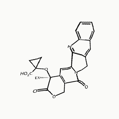 CC[C@@]1(OC2(C(=O)O)CC2)C(=O)OCc2c1cc1n(c2=O)Cc2cc3ccccc3nc2-1